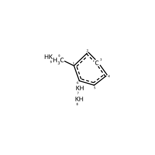 Cc1ccccc1.[KH].[KH].[KH]